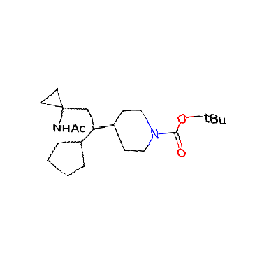 CC(=O)NC1(CC(C2CCCC2)C2CCN(C(=O)OC(C)(C)C)CC2)CC1